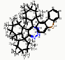 [2H]C1C([2H])([2H])C([2H])([2H])C([2H])([2H])C([2H])([2H])C1([2H])c1nnnc(C2C([2H])([2H])C([2H])([2H])C([2H])([2H])C([2H])([2H])C2([2H])c2cccc3sc4ccccc4c23)c1C1([2H])C([2H])C([2H])([2H])C([2H])([2H])C([2H])([2H])C1([2H])[2H]